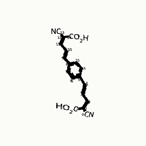 N#CC(=CC=Cc1ccc(C=CC=C(C#N)C(=O)O)cc1)C(=O)O